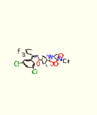 CCN1OCC(NC(=O)c2ccc(C(=O)/C=C(\c3cc(Cl)cc(Cl)c3)C(F)(F)F)cc2C)C1=O